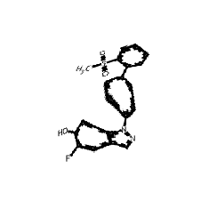 CS(=O)(=O)c1ccccc1-c1ccc(-n2ncc3cc(F)c(O)cc32)cc1